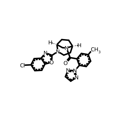 Cc1ccc(-n2nccn2)c(C(=O)N2C[C@@H]3CC[C@H]2CCN3c2nc3cc(Cl)ccc3o2)c1